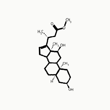 COC(=O)C[C@@H](C)C1=CCC2C3CC[C@@H]4C[C@H](O)CC[C@]4(C)C3C[C@H](O)[C@]12C